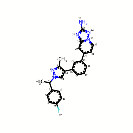 Cc1nn(C(C)c2ccc(F)cc2)cc1-c1cccc(-c2ccn3nc(N)nc3c2)c1